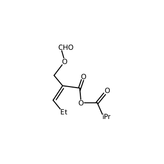 CCC=C(COC=O)C(=O)OC(=O)C(C)C